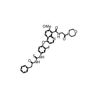 COc1ccc2c(Oc3ccc(NC(=S)NC(=O)Cc4ccccc4)cc3F)ccnc2c1C(=O)NCC(=O)N1CCOCC1